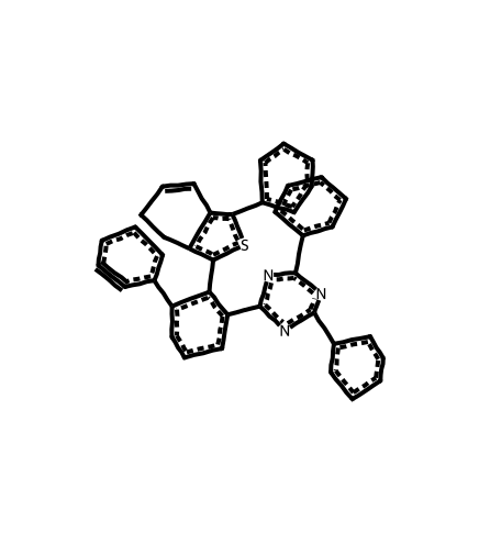 c1cccc(-c2cccc(-c3nc(-c4ccccc4)nc(-c4ccccc4)n3)c2-c2sc(-c3ccccc3)c3c2CCC=C3)c#1